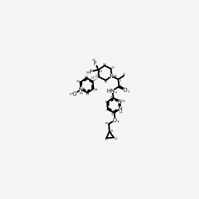 CC(C(=O)Nc1ccc(OCC2CC2)nn1)N1CCC(F)(F)[C@@H](c2cc[n+]([O-])cc2)C1